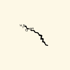 CCCCCCCCCCCCNC(=O)CN